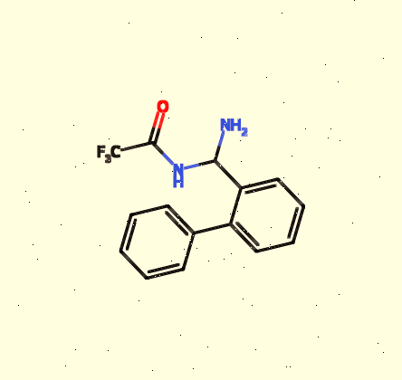 NC(NC(=O)C(F)(F)F)c1ccccc1-c1ccccc1